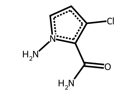 NC(=O)c1c(Cl)ccn1N